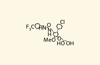 COc1cc(CNC(=O)NCc2ccc(C(F)(F)F)cc2)c(-c2ccc(Cl)cc2)cc1OC[C@H](O)CO